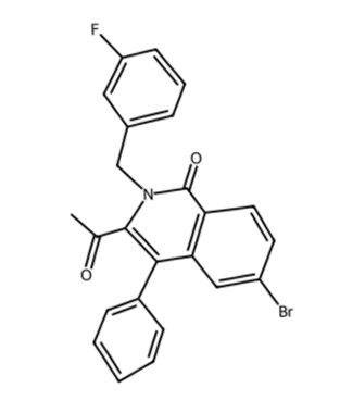 CC(=O)c1c(-c2ccccc2)c2cc(Br)ccc2c(=O)n1Cc1cccc(F)c1